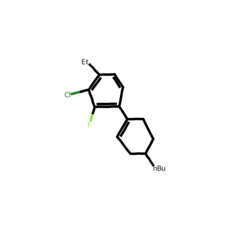 CCCCC1CC=C(c2ccc(CC)c(Cl)c2F)CC1